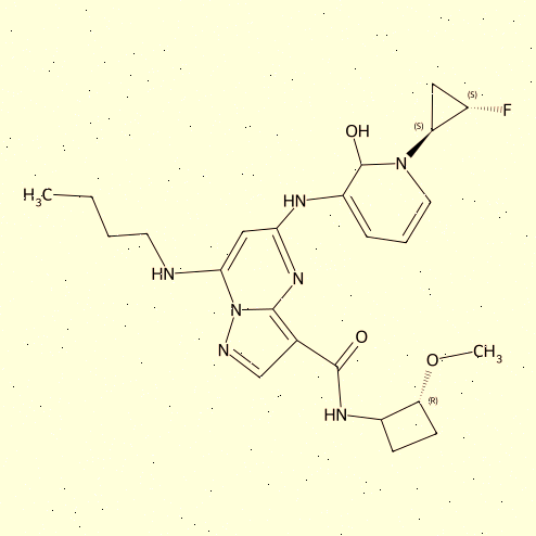 CCCCNc1cc(NC2=CC=CN([C@H]3C[C@@H]3F)C2O)nc2c(C(=O)NC3CC[C@H]3OC)cnn12